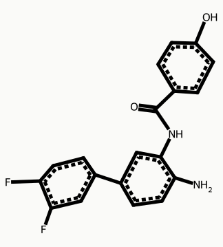 Nc1ccc(-c2ccc(F)c(F)c2)cc1NC(=O)c1ccc(O)cc1